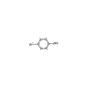 CC(C)c1ccc([NH])cc1